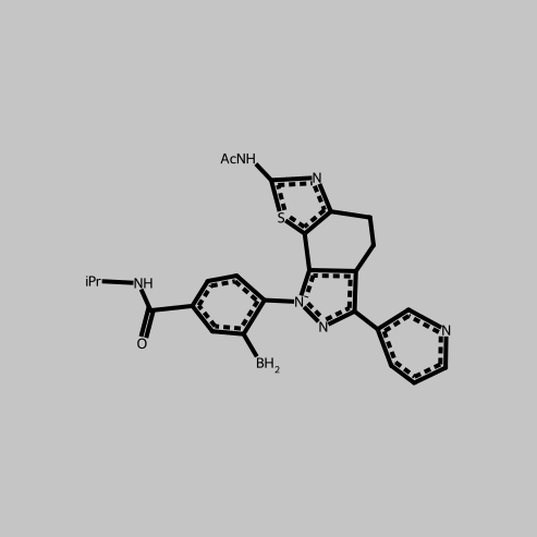 Bc1cc(C(=O)NC(C)C)ccc1-n1nc(-c2cccnc2)c2c1-c1sc(NC(C)=O)nc1CC2